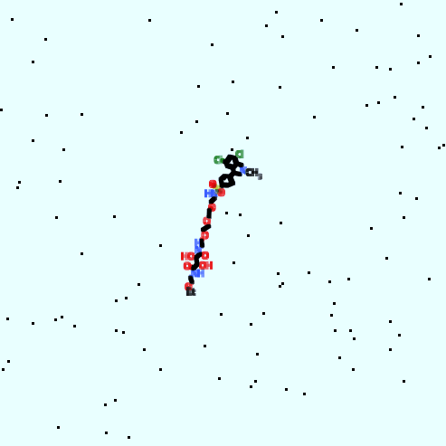 CCOCCNC(=O)C(O)C(O)C(=O)NCCOCCOCCOCCNS(=O)(=O)c1ccc(C2CN(C)Cc3c(Cl)cc(Cl)cc32)cc1